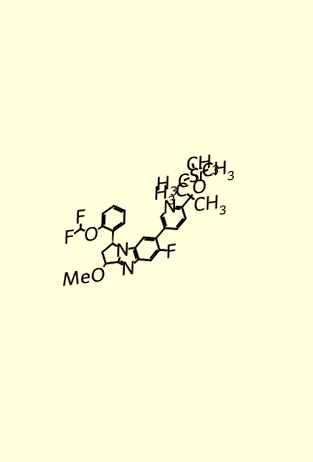 CO[C@H]1C[C@@H](c2ccccc2OC(F)F)n2c1nc1cc(F)c(-c3ccc(C(C)(C)O[Si](C)(C)C)nc3)cc12